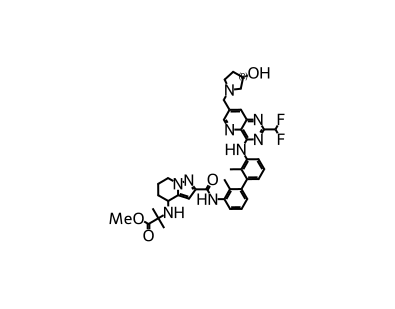 COC(=O)C(C)(C)NC1CCCn2nc(C(=O)Nc3cccc(-c4cccc(Nc5nc(C(F)F)nc6cc(CN7CC[C@@H](O)C7)cnc56)c4C)c3C)cc21